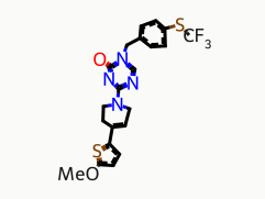 COc1ccc(C2=CCN(c3ncn(Cc4ccc(SC(F)(F)F)cc4)c(=O)n3)CC2)s1